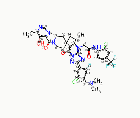 Cc1ncnc(C(=O)N2CCC3(CC2)C[C@H](C)c2c3c(=O)n3nc(-c4cc(Cl)c(CN(C)C)cc4F)nc3n2CC(=O)Nc2ccc(C(F)(F)F)cc2Cl)c1O